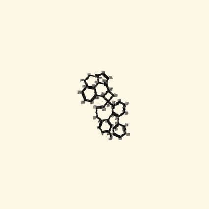 Fc1ccc2c(c1)-c1c(-c3ccccc3)ccc[n+]1C1(/C=C/C2)CC2C1c1cccc3c1C1N(C=CN21)CC3